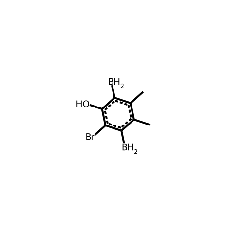 Bc1c(C)c(C)c(B)c(Br)c1O